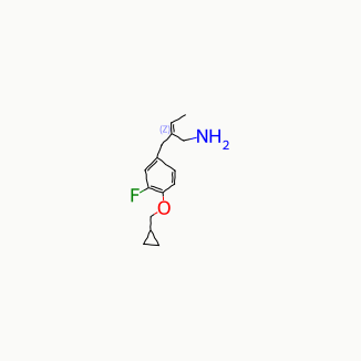 C/C=C(\CN)Cc1ccc(OCC2CC2)c(F)c1